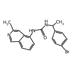 Cc1cc2c(NC(=O)NC(C)c3ccc(Br)cc3)cccc2cn1